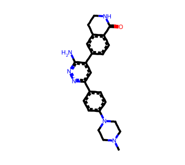 CN1CCN(c2ccc(-c3cc(-c4ccc5c(c4)CCNC5=O)c(N)nn3)cc2)CC1